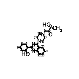 C[C@H](O)C(=O)CN1CCN(c2nc(-c3ccccc3O)nc3ccccc23)CC1